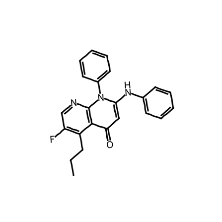 CCCc1c(F)cnc2c1c(=O)cc(Nc1ccccc1)n2-c1ccccc1